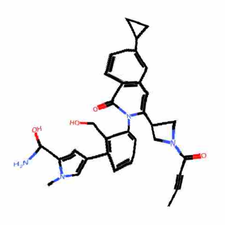 CC#CC(=O)N1CC(c2cc3cc(C4CC4)ccc3c(=O)n2-c2cccc(-c3cc(C(N)O)n(C)c3)c2CO)C1